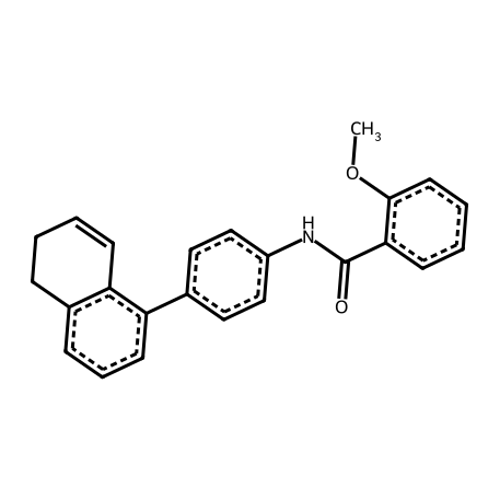 COc1ccccc1C(=O)Nc1ccc(-c2cccc3c2C=CCC3)cc1